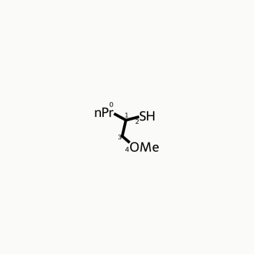 CCCC(S)COC